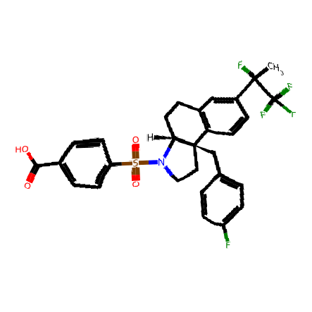 CC(F)(c1ccc2c(c1)CC[C@H]1N(S(=O)(=O)c3ccc(C(=O)O)cc3)CC[C@@]21Cc1ccc(F)cc1)C(F)(F)F